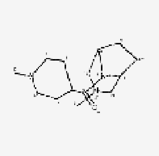 CN1CCC(C(=O)N2C3CCC2CN(C)C3)CC1